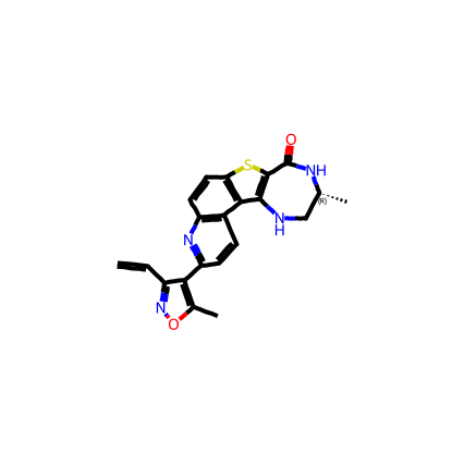 C=Cc1noc(C)c1-c1ccc2c(ccc3sc4c(c32)NC[C@@H](C)NC4=O)n1